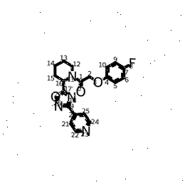 O=C(COc1ccc(F)cc1)N1CCCCC1c1nc(-c2ccncc2)no1